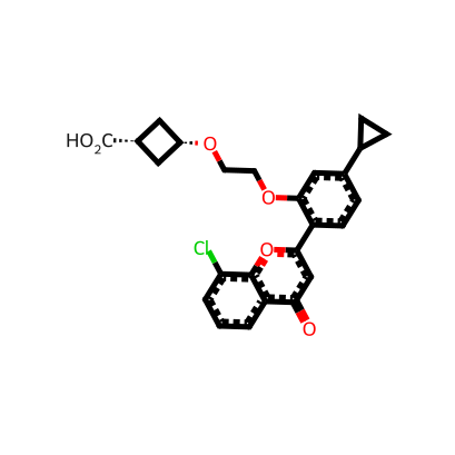 O=c1cc(-c2ccc(C3CC3)cc2OCCO[C@H]2C[C@@H](C(=O)O)C2)oc2c(Cl)cccc12